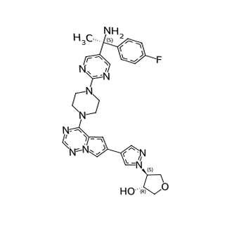 C[C@](N)(c1ccc(F)cc1)c1cnc(N2CCN(c3ncnn4cc(-c5cnn([C@H]6COC[C@@H]6O)c5)cc34)CC2)nc1